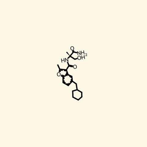 Cc1oc2ccc(CC3CCCCC3)cc2c1C(=O)N[C@@](C)(CO)C(N)=O